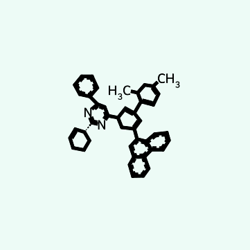 CC1=CC=C(C2=CC(c3cc(-c4ccccc4)nc([C@H]4C=CCCC4)n3)CC(c3cc4ccccc4c4ccccc34)=C2)C(C)C1